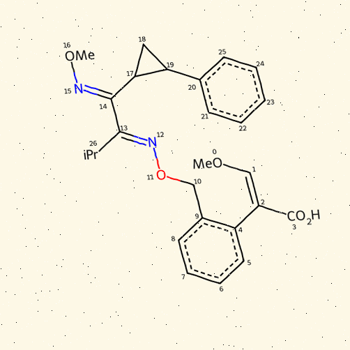 CO/C=C(/C(=O)O)c1ccccc1CO/N=C(/C(=N/OC)C1CC1c1ccccc1)C(C)C